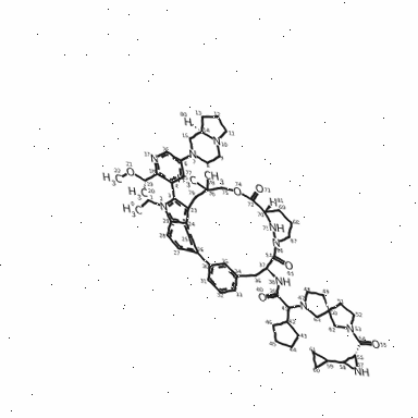 CCn1c(-c2cc(N3CCN4CCC[C@@H]4C3)cnc2[C@H](C)OC)c2c3cc(ccc31)-c1cccc(c1)C[C@H](NC(=O)C(C1CCCC1)N1CC[C@]3(CCN(C(=O)[C@@H]4NC4C4CC4)C3)C1)C(=O)N1CCC[C@H](N1)C(=O)OCC(C)(C)C2